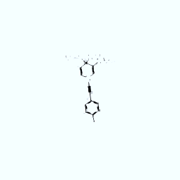 CNC1=CN(C#Cc2ccc(C)cc2)C=CC1(NC)NC